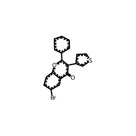 O=c1c(-c2ccsc2)c(-c2ccccc2)oc2ccc(Br)cc12